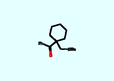 COCC1(C(=O)C(C)C)CCCCC1